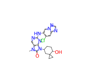 Cn1c(=O)n(C2CCC(O)C3(CC3)C2)c2nc(Nc3cn4ncnc4cc3Cl)ncc21